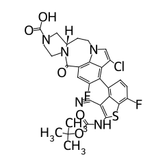 CC(C)(C)OC(=O)Nc1sc2c(F)ccc(-c3c(F)cc4c5c3c(Cl)cn5CC[C@H]3CN(C(=O)O)CCN3C4=O)c2c1C#N